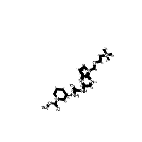 CC(C)(C)OC(=O)N1CCC[C@@H](NC(=O)Nc2cnc3c(ccn3COCC[Si](C)(C)C)n2)C1